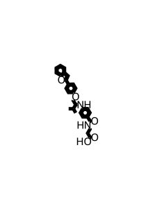 CC(C)C(COc1ccc(-c2cc3ccccc3o2)cc1)Nc1ccc(C(=O)NCCC(=O)O)cc1